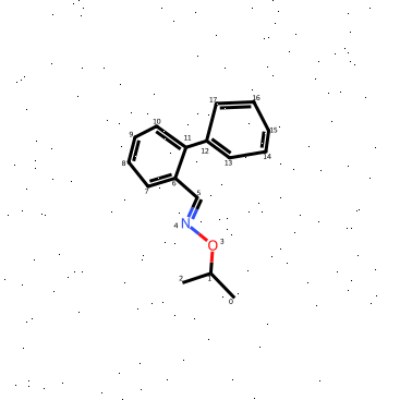 CC(C)O/N=C/c1ccccc1-c1ccccc1